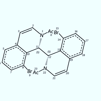 CC(=O)N1C=Cc2cccc(Br)c2[C@H]1[C@@H]1c2c(Br)cccc2C=CN1C(C)=O